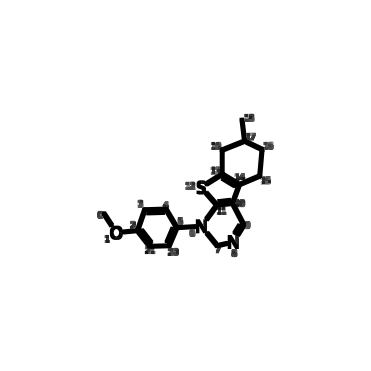 COc1ccc(N2CN=Cc3c2sc2c3CCC(C)C2)cc1